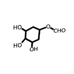 O=COC1CC(O)C(O)C(O)C1